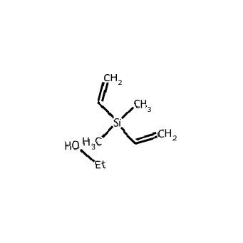 C=C[Si](C)(C)C=C.CCO